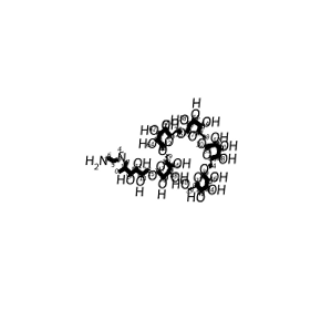 CC(CN(C)CCN)[C@@H](O)[C@H](O)[C@H](O)COC1O[C@H](CO[C@@H]2O[C@H](CO[C@@H]3O[C@H](CO[C@@H]4O[C@H](CO[C@@H]5O[C@H](CO)[C@@H](O)[C@H](O)[C@H]5O)[C@@H](O)[C@H](O)[C@H]4O)[C@@H](O)[C@H](O)[C@H]3O)[C@@H](O)[C@H](O)[C@H]2O)[C@@H](O)[C@H](O)[C@H]1O